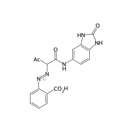 CC(=O)C(/N=N/c1ccccc1C(=O)O)C(=O)Nc1ccc2[nH]c(=O)[nH]c2c1